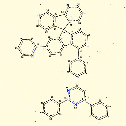 c1ccc(-c2cc(-c3ccc(-c4cccc(C5(c6cccc(-c7ccccn7)c6)c6ccccc6-c6ccccc65)c4)cc3)nc(-c3ccccc3)n2)cc1